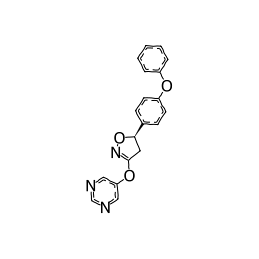 c1ccc(Oc2ccc([C@H]3CC(Oc4cncnc4)=NO3)cc2)cc1